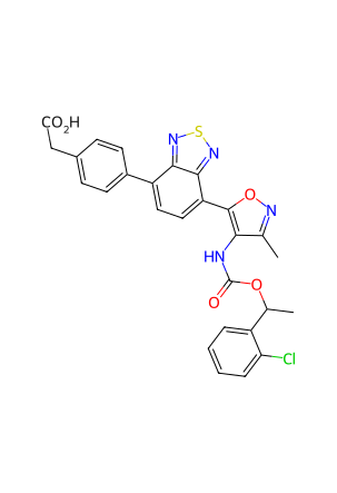 Cc1noc(-c2ccc(-c3ccc(CC(=O)O)cc3)c3nsnc23)c1NC(=O)OC(C)c1ccccc1Cl